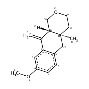 C=C1c2cc(OC)ccc2C[C@]2(C)CCOC[C@@H]12